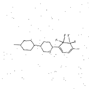 CC1=CC=C(C2CCC(C3CCC(C)CC3)CO2)C(F)(F)C1(F)F